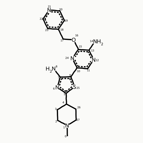 CN1CCC(c2nc(N)c(-c3cnc(N)c(OCc4ccncc4)n3)s2)CC1